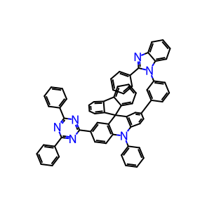 c1ccc(-c2nc(-c3ccccc3)nc(-c3ccc4c(c3)C3(c5ccccc5-c5ccccc53)c3cc(-c5cccc(-n6c(-c7ccccc7)nc7ccccc76)c5)ccc3N4c3ccccc3)n2)cc1